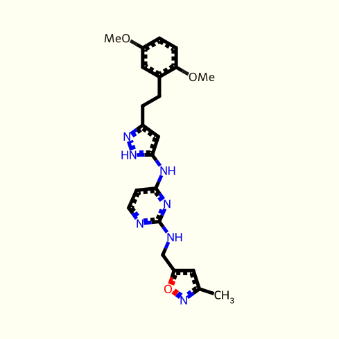 COc1ccc(OC)c(CCc2cc(Nc3ccnc(NCc4cc(C)no4)n3)[nH]n2)c1